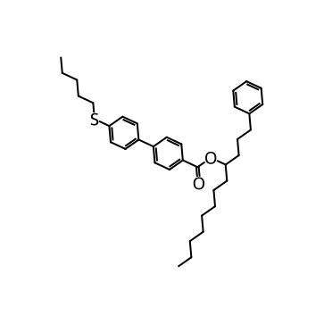 CCCCCCCCC(CCCc1ccccc1)OC(=O)c1ccc(-c2ccc(SCCCCC)cc2)cc1